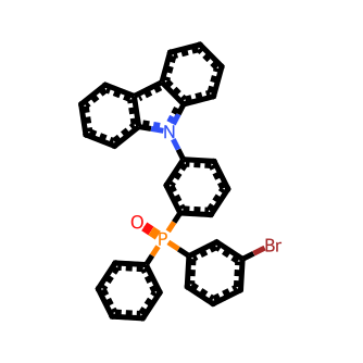 O=P(c1ccccc1)(c1cccc(Br)c1)c1cccc(-n2c3ccccc3c3ccccc32)c1